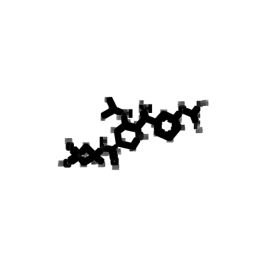 CC(C)NC1=C(C(=N)c2cccc(OC(F)F)c2)OC[C@H](C(=O)NC2(C)CS(=O)(=O)C2)C1